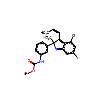 CC(C)OC(=O)Nc1cccc(C2(C(=O)O)N=c3cc(Cl)cc(Cl)c3=C2/C=C\C(=O)O)c1